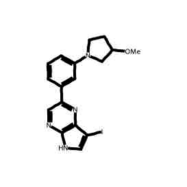 COC1CCN(c2cccc(-c3cnc4[nH]cc(I)c4n3)c2)C1